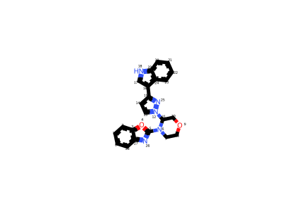 c1ccc2oc(N3CCOCC3n3ccc(-c4c[nH]c5ccccc45)n3)nc2c1